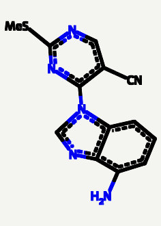 CSc1ncc(C#N)c(-n2cnc3c(N)cccc32)n1